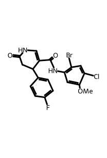 COc1cc(NC(=O)C2=CNC(=O)CC2c2ccc(F)cc2)c(Br)cc1Cl